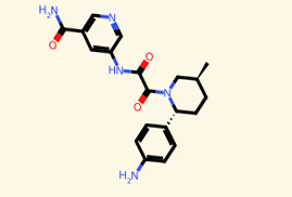 C[C@H]1CC[C@H](c2ccc(N)cc2)N(C(=O)C(=O)Nc2cncc(C(N)=O)c2)C1